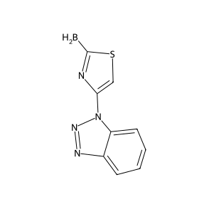 Bc1nc(-n2nnc3ccccc32)cs1